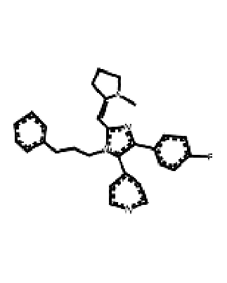 CN1CCCC1=Cc1nc(-c2ccc(F)cc2)c(-c2ccncc2)n1CCCc1ccccc1